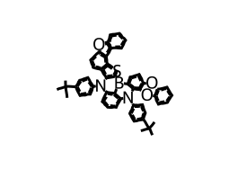 CC(C)(C)c1ccc(N2c3cccc4c3B(c3ccc5c(c32)Oc2ccccc2O5)c2sc3c(ccc5oc6ccccc6c53)c2N4c2ccc(C(C)(C)C)cc2)cc1